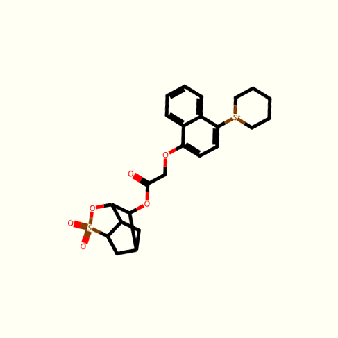 O=C(COc1ccc([S+]2CCCCC2)c2ccccc12)OC1C2CC3C1OS(=O)(=O)C3C2